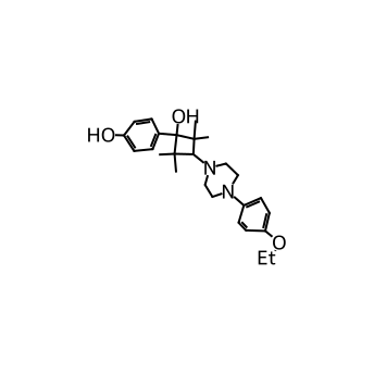 CCOc1ccc(N2CCN(C3C(C)(C)C(O)(c4ccc(O)cc4)C3(C)C)CC2)cc1